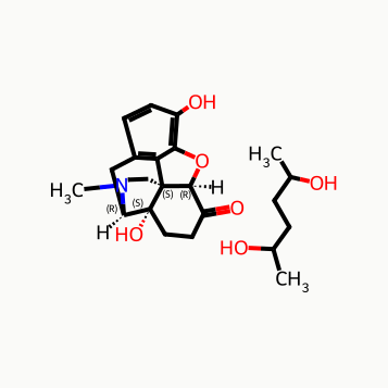 CC(O)CCC(C)O.CN1CC[C@]23c4c5ccc(O)c4O[C@H]2C(=O)CC[C@@]3(O)[C@H]1C5